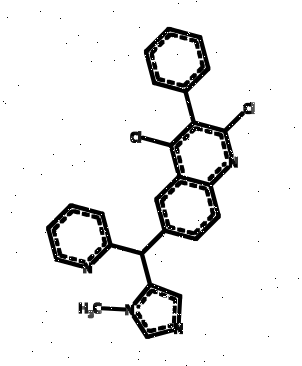 Cn1cncc1C(c1ccc2nc(Cl)c(-c3ccccc3)c(Cl)c2c1)c1ccccn1